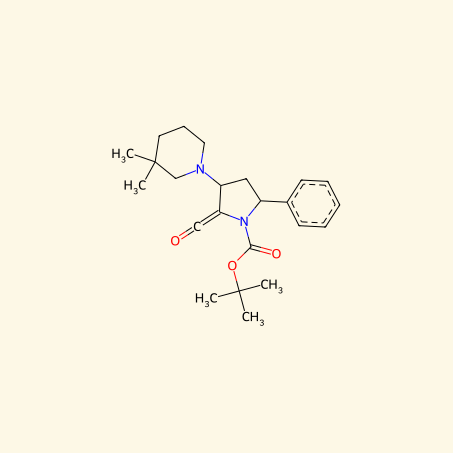 CC1(C)CCCN(C2CC(c3ccccc3)N(C(=O)OC(C)(C)C)C2=C=O)C1